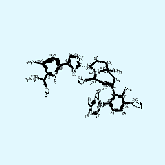 NC(=O)c1sc(-c2c[nH]c([C@@H]3CC[C@@H]4CC(c5c(-n6cnnn6)ccc(Cl)c5F)=CC(=O)N43)n2)cc1F